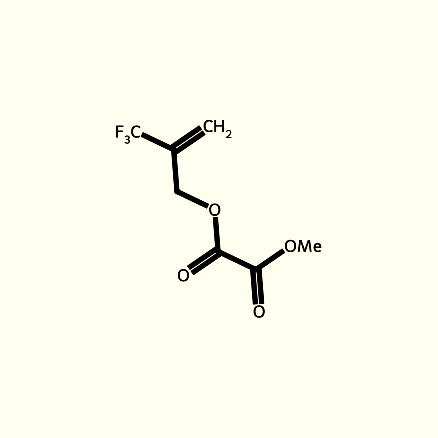 C=C(COC(=O)C(=O)OC)C(F)(F)F